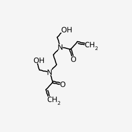 C=CC(=O)N(CO)CCN(CO)C(=O)C=C